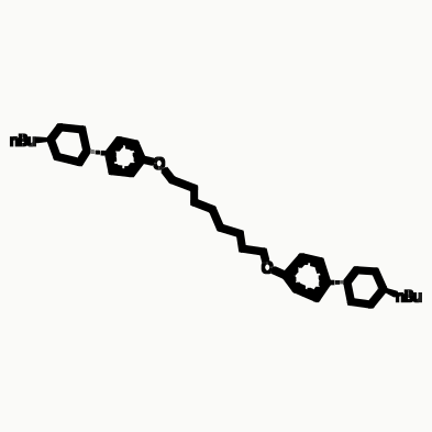 CCCC[C@H]1CC[C@H](c2ccc(OCCCCCCCCOc3ccc([C@H]4CC[C@H](CCCC)CC4)cc3)cc2)CC1